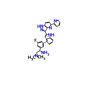 CN(C)CC(N)c1cc(F)cc(-c2cccc3[nH]c(-c4n[nH]c5ccc(-c6ccccn6)nc45)cc23)c1